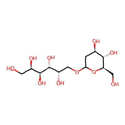 OC[C@@H](O)[C@H](O)[C@H](O)[C@@H](O)COC1C[C@@H](O)[C@H](O)[C@@H](CO)O1